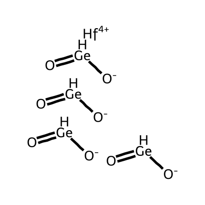 [Hf+4].[O]=[GeH][O-].[O]=[GeH][O-].[O]=[GeH][O-].[O]=[GeH][O-]